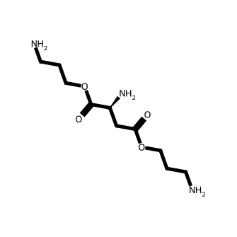 NCCCOC(=O)C[C@H](N)C(=O)OCCCN